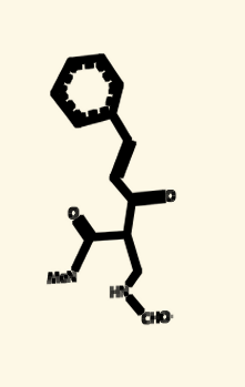 CNC(=O)C(CN[C]=O)C(=O)/C=C/c1ccccc1